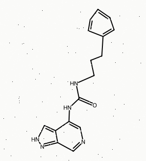 O=C(NCCCc1ccccc1)Nc1cncc2n[nH]cc12